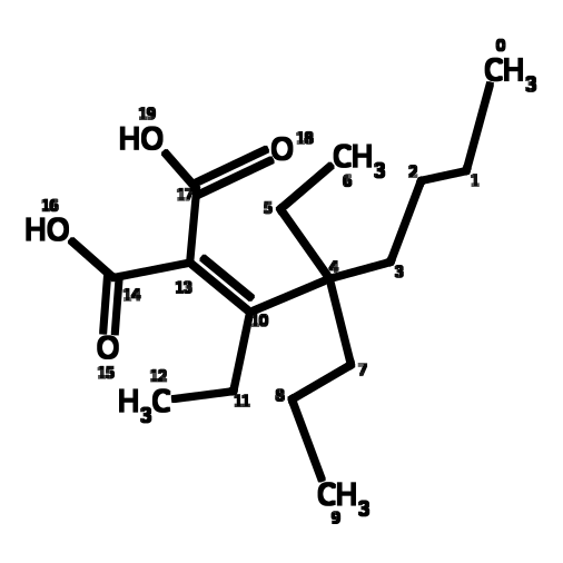 CCCCC(CC)(CCC)C(CC)=C(C(=O)O)C(=O)O